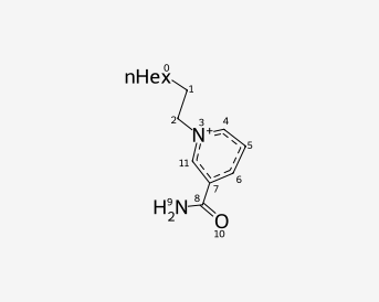 CCCCCCCC[n+]1cccc(C(N)=O)c1